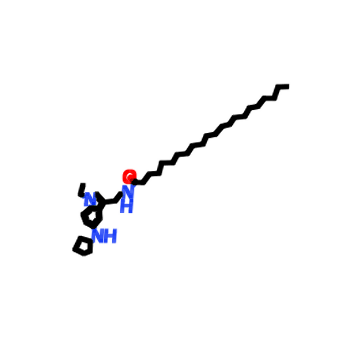 CCCCCCCCCCCCCCCCCCCCCC(=O)NCCc1cn(CC)c2ccc(NC3CCCC3)cc12